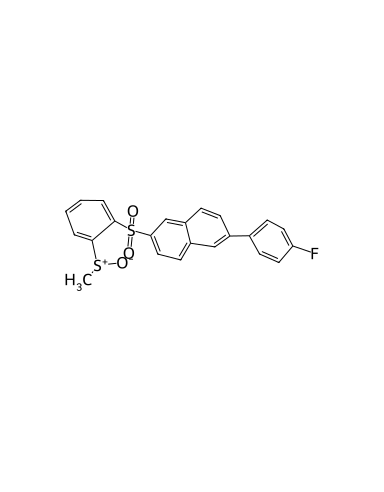 C[S+]([O-])c1ccccc1S(=O)(=O)c1ccc2cc(-c3ccc(F)cc3)ccc2c1